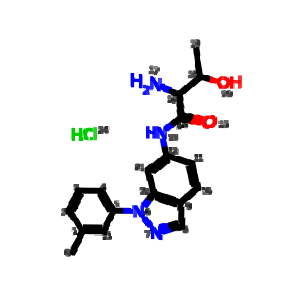 Cc1cccc(-n2ncc3ccc(NC(=O)C(N)C(C)O)cc32)c1.Cl